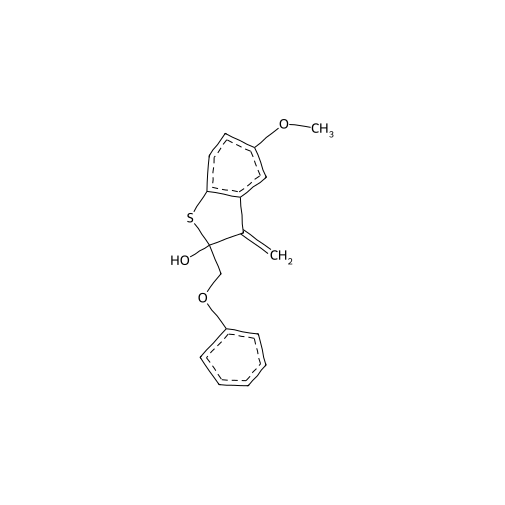 C=C1c2cc(OC)ccc2SC1(O)COc1ccccc1